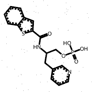 O=C(NC(COP(=O)(O)O)Cc1cccnc1)c1cc2ccccc2s1